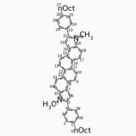 CCCCCCCCc1ccc(-c2cc3c4ccc5c(ccc6c5ccc5c6cc(-c6ccc(CCCCCCCC)cc6)n5C)c4ccc3n2C)cc1